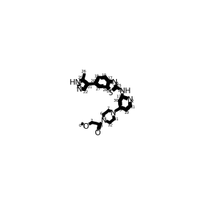 COCC(=O)N1CCN(c2ccnc(Nc3nc4ccc(-c5cn[nH]c5C)cc4s3)c2)CC1